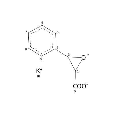 O=C([O-])C1OC1c1ccccc1.[K+]